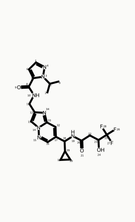 CC(C)n1nccc1C(=O)NCc1cn2ncc(C(NC(=O)CC(O)C(F)(F)F)C3CC3)cc2n1